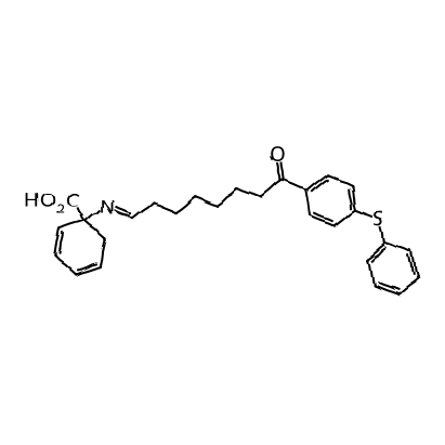 O=C(CCCCCCC=NC1(C(=O)O)C=CC=CC1)c1ccc(Sc2ccccc2)cc1